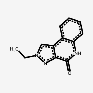 CCn1cc2c(n1)c(=O)[nH]c1ccccc12